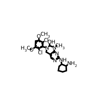 COc1cc(OC)c(Cl)c(N2Cc3cnc(NC4CCCCC4N)nc3N(C)C2O)c1Cl